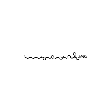 CC(C)(C)OC(=O)COCCOCCOCCOCCCCCCI